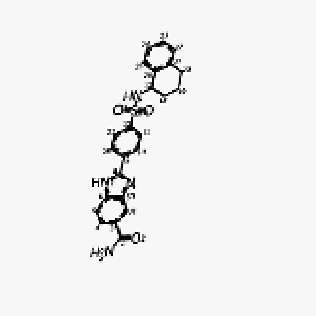 NC(=O)c1ccc2[nH]c(-c3ccc(S(=O)(=O)NC4CCCc5ccccc54)cc3)nc2c1